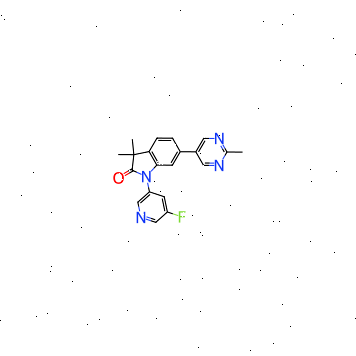 Cc1ncc(-c2ccc3c(c2)N(c2cncc(F)c2)C(=O)C3(C)C)cn1